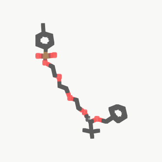 Cc1ccc(S(=O)(=O)OCCOCCOCCOCC(OCc2ccccc2)C(C)(C)C)cc1